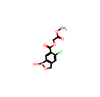 COC(=O)COC(=O)c1cc2c(cc1Cl)COB2O